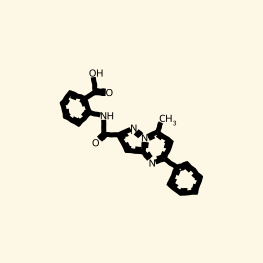 Cc1cc(-c2ccccc2)nc2cc(C(=O)Nc3ccccc3C(=O)O)nn12